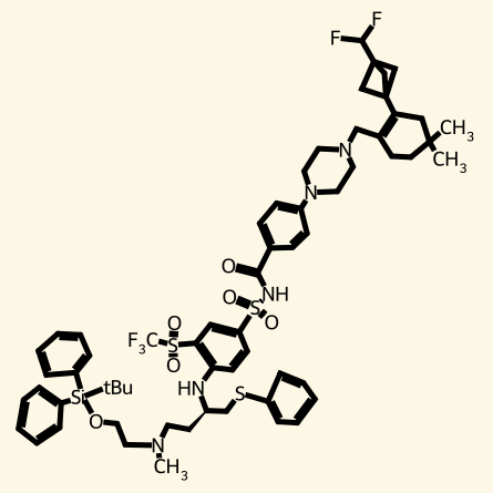 CN(CCO[Si](c1ccccc1)(c1ccccc1)C(C)(C)C)CC[C@H](CSc1ccccc1)Nc1ccc(S(=O)(=O)NC(=O)c2ccc(N3CCN(CC4=C(C56CC(C(F)F)(C5)C6)CC(C)(C)CC4)CC3)cc2)cc1S(=O)(=O)C(F)(F)F